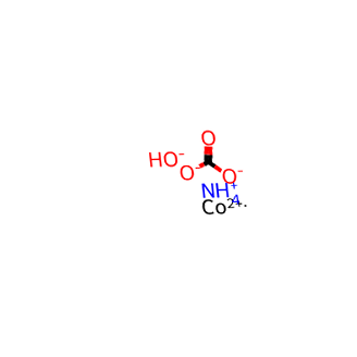 O=C([O-])[O-].[Co+2].[NH4+].[OH-]